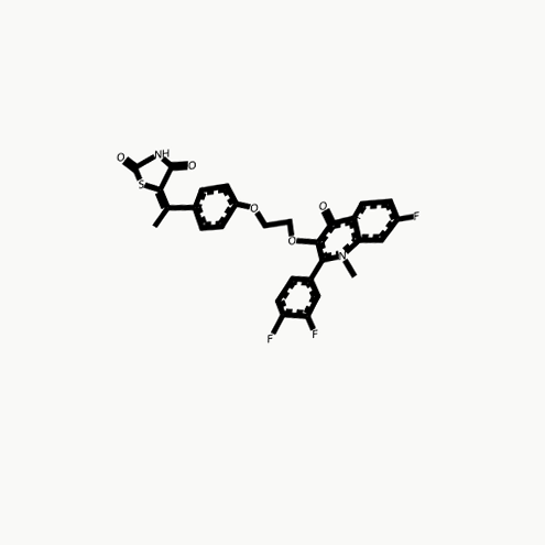 C/C(=C1\SC(=O)NC1=O)c1ccc(OCCOc2c(-c3ccc(F)c(F)c3)n(C)c3cc(F)ccc3c2=O)cc1